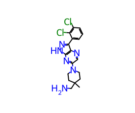 CC1(CN)CCN(c2cnc3c(-c4cccc(Cl)c4Cl)n[nH]c3n2)CC1